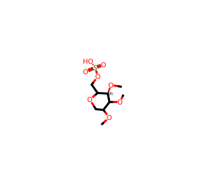 COC1COC(COS(=O)(=O)O)[C@@H](OC)C1OC